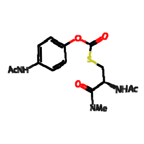 CNC(=O)[C@@H](CSC(=O)Oc1ccc(NC(C)=O)cc1)NC(C)=O